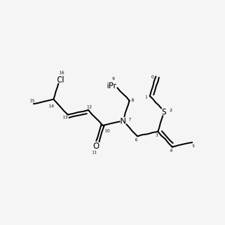 C=CS/C(=C\C)CN(CC(C)C)C(=O)/C=C/C(C)Cl